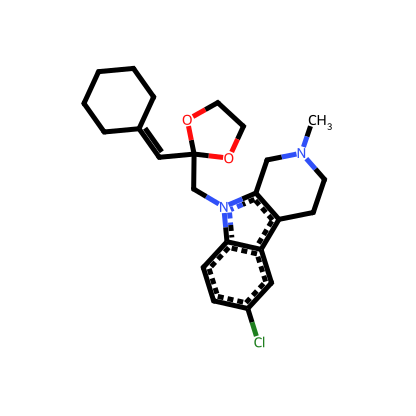 CN1CCc2c(n(CC3(C=C4CCCCC4)OCCO3)c3ccc(Cl)cc23)C1